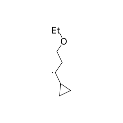 CCOCC[CH]C1CC1